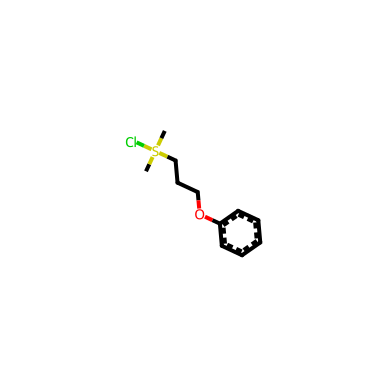 CS(C)(Cl)CCCOc1ccccc1